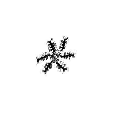 FC(F)C(F)(F)C(F)(F)C(F)(F)CO[PH]1(OCC(F)(F)C(F)(F)C(F)(F)C(F)F)N[PH](OCC(F)(F)C(F)(F)C(F)(F)C(F)F)(OCC(F)(F)C(F)(F)C(F)(F)C(F)F)N[PH](OCC(F)(F)C(F)(F)C(F)(F)C(F)F)(OCC(F)(F)C(F)(F)C(F)(F)C(F)F)N1